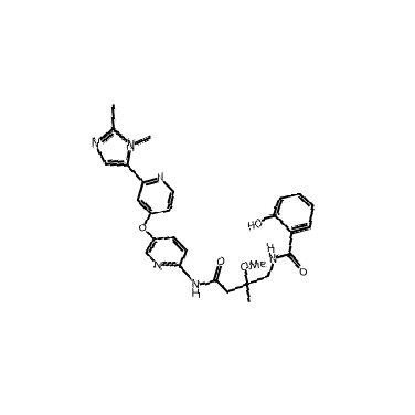 COC(C)(CNC(=O)c1ccccc1O)CC(=O)Nc1ccc(Oc2ccnc(-c3cnc(C)n3C)c2)cn1